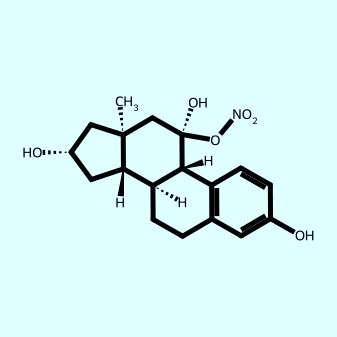 C[C@@]12C[C@@H](O)C[C@H]1[C@@H]1CCc3cc(O)ccc3[C@H]1[C@](O)(O[N+](=O)[O-])C2